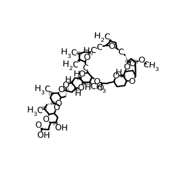 C=C1CC2CC[C@]34C[C@@H](OC)C(O3)C3CC(O4)[C@H]4OC(CCC4O3)CC(=O)OC3C(CC4O[C@@H](CCC1O2)C[C@@H](C)C4=C)O[C@H]1C[C@H]2O[C@@]4(CC5O[C@]6(C[C@H](C)C7OC(CC(=O)O)[C@H](O)CC7O6)C[C@H](C)C5O4)C[C@H]2O[C@H]1[C@@H]3C